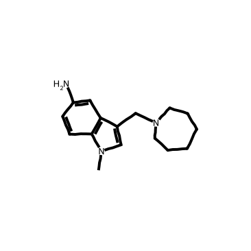 Cn1cc(CN2CCCCCC2)c2cc(N)ccc21